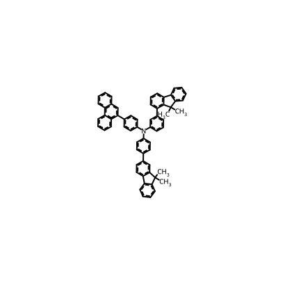 CC1(C)c2ccccc2-c2ccc(-c3ccc(N(c4ccc(-c5cc6ccccc6c6ccccc56)cc4)c4cccc(-c5cccc6c5C(C)(C)c5ccccc5-6)c4)cc3)cc21